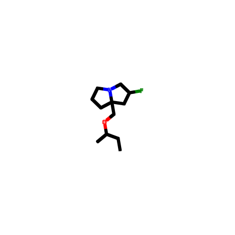 CCC(C)OCC12CCCN1CC(F)C2